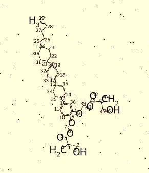 C=C(CO)C(=O)OCOc1ccc(C2CCC(c3ccc(C4CCC(CCCCC)CC4)cc3)CC2)cc1OCOC(=O)C(=C)CO